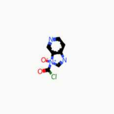 O=C(Cl)[N+]1([O-])C=Nc2ccncc21